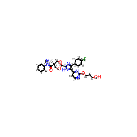 CC1(C(=O)Nc2ccccc2)COC(c2nc(-c3ccc(F)cc3)c(-c3ccnc(OCCCO)n3)[nH]2)OC1